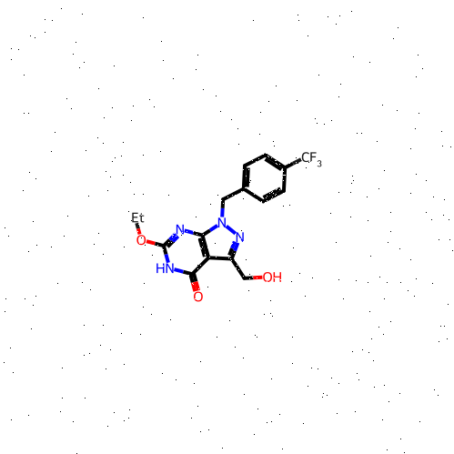 CCOc1nc2c(c(CO)nn2Cc2ccc(C(F)(F)F)cc2)c(=O)[nH]1